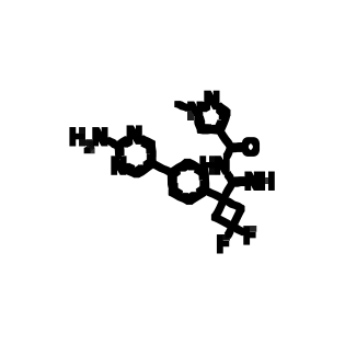 Cn1cc(C(=O)NC(=N)C2(c3ccc(-c4cnc(N)nc4)cc3)CC(F)(F)C2)cn1